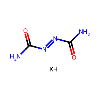 NC(=O)N=NC(N)=O.[KH]